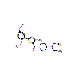 CCN(CC)C1CCN(C(=O)c2sc(-c3cc(OC)ccc3OC)nc2C)CC1